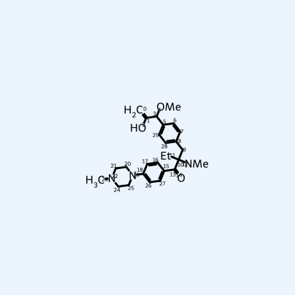 C=C(O)C(OC)c1ccc(CC(CC)(NC)C(=O)c2ccc(N3CCN(C)CC3)cc2)cc1